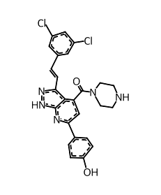 O=C(c1cc(-c2ccc(O)cc2)nc2[nH]nc(C=Cc3cc(Cl)cc(Cl)c3)c12)N1CCNCC1